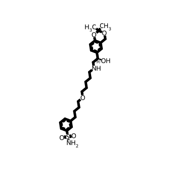 CC1(C)OCc2cc([C@@H](O)CNCCCCCOCCCCc3cccc(S(N)(=O)=O)c3)ccc2O1